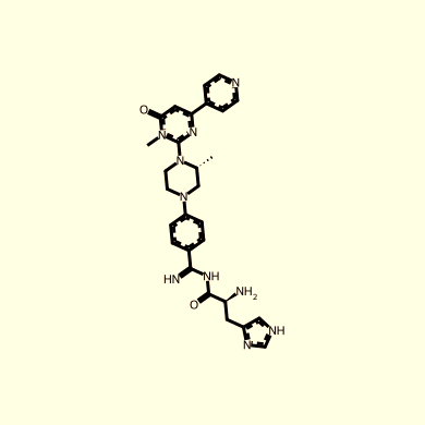 C[C@@H]1CN(c2ccc(C(=N)NC(=O)[C@@H](N)Cc3c[nH]cn3)cc2)CCN1c1nc(-c2ccncc2)cc(=O)n1C